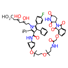 CC(C)c1c(C(=O)Nc2ccc(OC(C)(C)CCOC(C)(C)CCNC(=O)COc3cccc4c3C(=O)N(C3CCC(=O)NC3=O)C4=O)cc2)c(-c2ccccc2)c(-c2ccc(F)cc2)n1CC[C@@H](O)C[C@@H](O)CC(=O)O